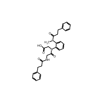 CN(C(=O)CCc1ccccc1)c1ccccc1N(CC(=O)O)C(=O)CNC(=O)CCc1ccccc1